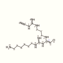 N#CNC(=N)NCCCN/C(=N\Cl)NC(=N)NCCCCCCN